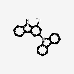 [2H]c1cc(-n2c3ccccc3c3ccccc32)cc2c1[nH]c1ccccc12